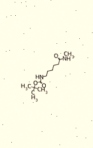 CNC(=O)CCCCCNC(=O)OC(C)(C)C